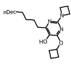 CCCCCCCCCCCCCCc1nc(N2CCC2)nc(OC2CCC2)c1O